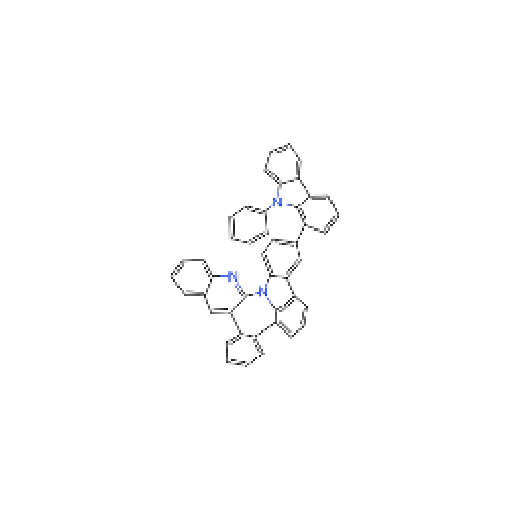 c1ccc(-n2c3ccccc3c3cccc(-c4ccc5c(c4)c4cccc6c4n5-c4nc5ccccc5cc4-c4ccccc4-6)c32)cc1